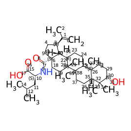 C=C(C)[C@@H]1CC[C@]2(C(=O)N[C@@H](CC(C)C)C(=O)O)CC[C@]3(C)[C@H](CCC4[C@@]5(C)CC[C@H](O)C(C)(C)[C@@H]5CC[C@]43C)[C@@H]12